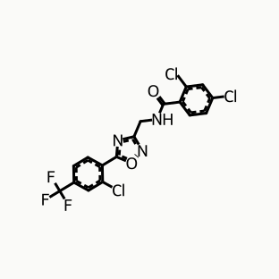 O=C(NCc1noc(-c2ccc(C(F)(F)F)cc2Cl)n1)c1ccc(Cl)cc1Cl